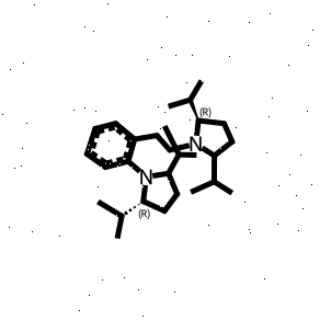 CC(C)C1CC[C@H](C(C)C)N1CCc1ccccc1N1C(C(C)C)CC[C@@H]1C(C)C